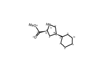 COC(=O)[C@@H]1C[C@H](C2CCCCC2)CN1